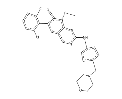 COn1c(=O)c(-c2c(Cl)cccc2Cl)cc2cnc(Nc3ccc(CN4CCOCC4)cc3)nc21